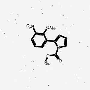 COc1c(-c2cccn2C(=O)OC(C)(C)C)cccc1[N+](=O)[O-]